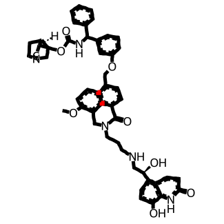 COc1ccccc1CN(CCCNC[C@@H](O)c1ccc(O)c2[nH]c(=O)ccc12)C(=O)c1ccc(COc2cccc(C(NC(=O)O[C@H]3CN4CCC3CC4)c3ccccc3)c2)cc1